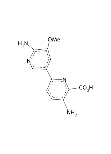 COc1cc(-c2ccc(N)c(C(=O)O)n2)cnc1N